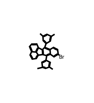 Cc1cc(C)cc(-c2c3c(c(-c4cc(C)cc(C)c4)c4cc(Br)ccc24)-c2cccc4cccc-3c24)c1